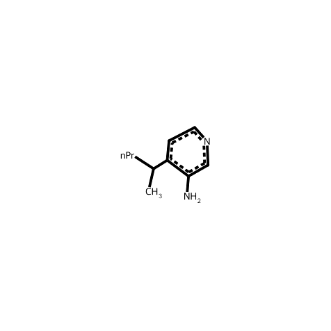 CCCC(C)c1ccncc1N